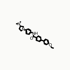 CCOc1ccc(-c2ccc(C(=O)Nc3ccc(N4CCC(N(C)C)C4)cc3)cc2)cc1